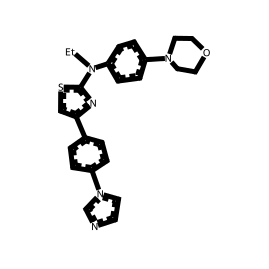 CCN(c1ccc(N2CCOCC2)cc1)c1nc(-c2ccc(-n3ccnc3)cc2)cs1